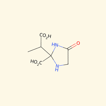 CC(C(=O)O)C1(C(=O)O)NCC(=O)N1